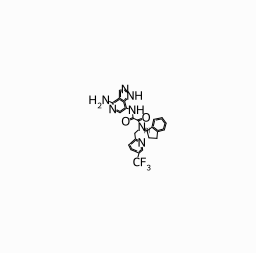 Nc1ncc(NC(=O)C(=O)N(Cc2ccc(C(F)(F)F)cn2)[C@@H]2CCc3ccccc32)c2[nH]ncc12